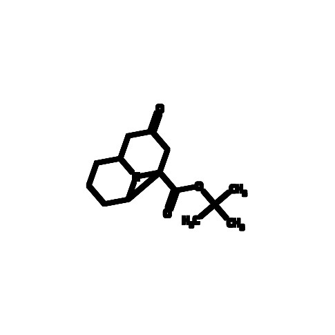 CC(C)(C)OC(=O)C12CC(=O)CC3CCCC1N32